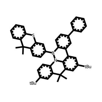 CC(C)(C)c1ccc2c(c1)C(C)(C)c1cc(C(C)(C)C)cc3c1N2B(c1ccc2c(c1)Sc1ccccc1C2(C)C)c1ccc(-c2ccccc2)cc1-3